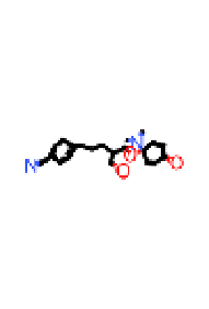 CN(C)C1(OCC(C=O)CCCc2ccc(C#N)cc2)C=CC(=O)C=C1